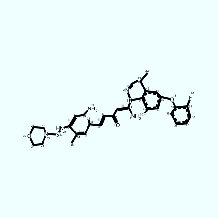 C/C=N\N(/C(N)=C/C(=O)/C=C/C(C)/C=C(C)\C(=C/CN)NSN1CCOCC1)c1c(F)cc(Oc2ccccc2F)cc1CC